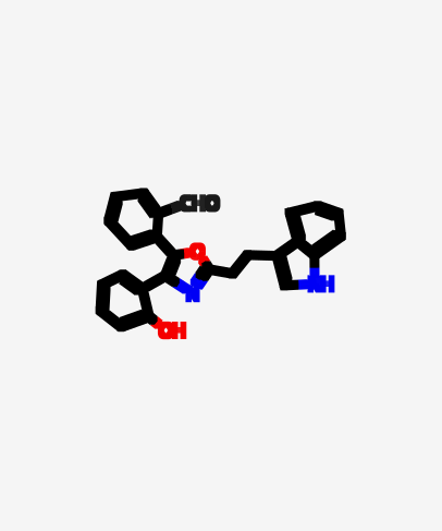 O=Cc1ccccc1-c1oc(CCc2c[nH]c3ccccc23)nc1-c1ccccc1O